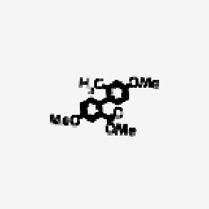 COC(=O)c1cc(OC)ccc1-c1ccc(OC)cc1C